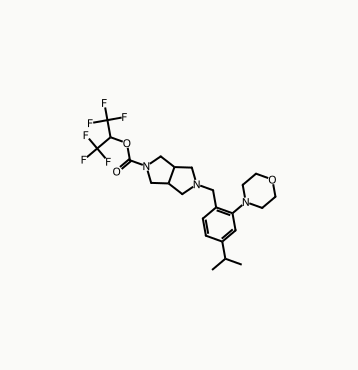 CC(C)c1ccc(CN2CC3CN(C(=O)OC(C(F)(F)F)C(F)(F)F)CC3C2)c(N2CCOCC2)c1